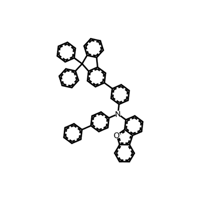 c1ccc(-c2ccc(N(c3cccc(-c4ccc5c(c4)-c4ccccc4C5(c4ccccc4)c4ccccc4)c3)c3cccc4c3oc3ccccc34)cc2)cc1